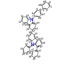 c1ccc(-c2ccc(-n3c4ccccc4c4cc(-c5ccc6c(c5)c5cccc7c5n6-c5ccccc5-c5ccccc5-7)ccc43)cc2)cc1